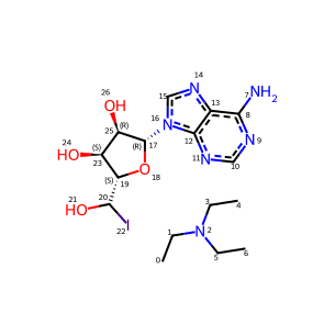 CCN(CC)CC.Nc1ncnc2c1ncn2[C@@H]1O[C@H](C(O)I)[C@@H](O)[C@H]1O